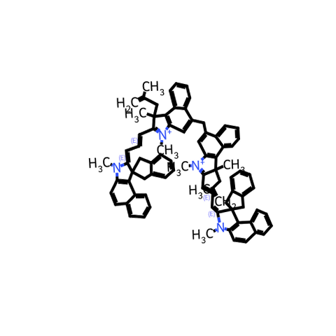 C=C(C)CC1(C)C(/C=C/C=C2/N(C)c3ccc4ccccc4c3C23Cc2ccccc2C3)=[N+](C)c2cc(Cc3cc4c(c5ccccc35)C(C)(CC(=C)C)C(/C=C/C=C3/N(C)c5ccc6ccccc6c5C35Cc3ccccc3C5)=[N+]4C)c3ccccc3c21